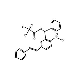 O=C(OC(c1ccccc1)c1cc(N=Nc2ccccc2)ccc1[N+](=O)[O-])C(Cl)(Cl)Cl